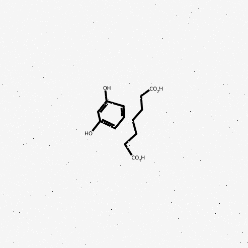 O=C(O)CCCCCC(=O)O.Oc1cccc(O)c1